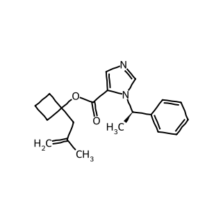 C=C(C)CC1(OC(=O)c2cncn2[C@H](C)c2ccccc2)CCC1